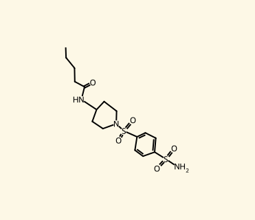 CCCCC(=O)NC1CCN(S(=O)(=O)c2ccc(S(N)(=O)=O)cc2)CC1